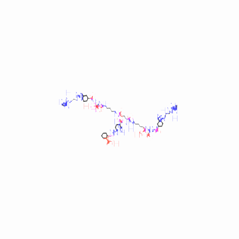 O=C(CCC(NC(=O)c1ccc(N/N=C/c2ccccc2S(=O)(=O)O)nc1)C(=O)NCCCCCC(=O)N[C@@H](CNC(=O)c1ccc2c(cnn2CCCNc2ncc[nH]2)c1)C(=O)O)NCCCCCC(=O)N[C@@H](CNC(=O)c1ccc2c(cnn2CCCNc2ncc[nH]2)c1)C(=O)O